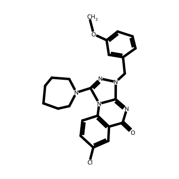 COc1cccc(Cn2nc(N3CCCCCC3)n3c4ccc(Cl)cc4c(=O)nc23)c1